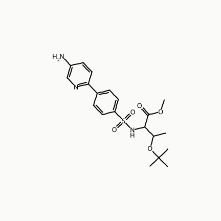 COC(=O)C(NS(=O)(=O)c1ccc(-c2ccc(N)cn2)cc1)C(C)OC(C)(C)C